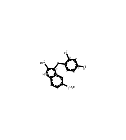 CCCc1[nH]c2ccc(C(=O)O)cc2c1Cc1ccc(Cl)cc1Cl